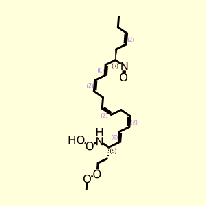 CC/C=C\C[C@H](/C=C/C=C\C/C=C\C/C=C\C=C\[C@H](CCOOC)NOO)N=O